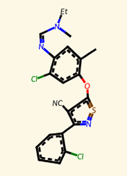 CCN(C)/C=N\c1cc(C)c(Oc2snc(-c3ccccc3Cl)c2C#N)cc1Cl